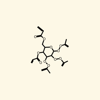 C=CC(=O)OCC1OC(OOC(=C)C)C(OOC(=C)C)C(OOC(=C)C)C1OC(=O)C=C